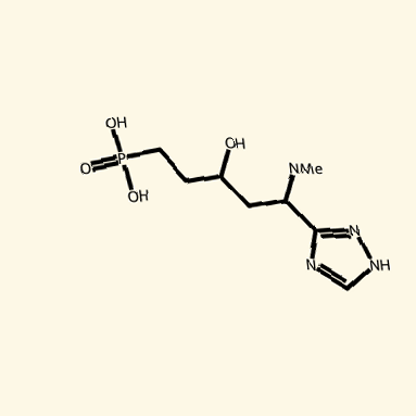 CNC(CC(O)CCP(=O)(O)O)c1nc[nH]n1